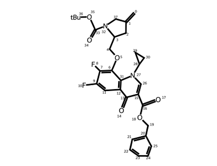 C=C1CC(COc2c(F)c(F)cc3c(=O)c(C(=O)OCc4ccccc4)cn(C4CC4)c23)N(C(=O)OC(C)(C)C)C1